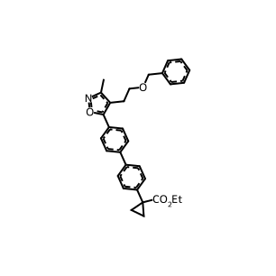 CCOC(=O)C1(c2ccc(-c3ccc(-c4onc(C)c4CCOCc4ccccc4)cc3)cc2)CC1